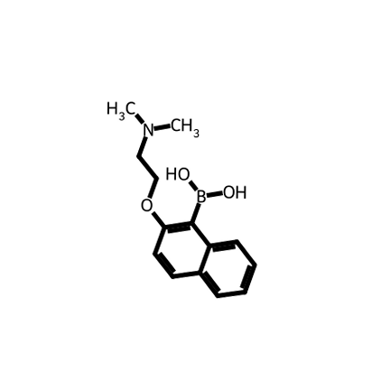 CN(C)CCOc1ccc2ccccc2c1B(O)O